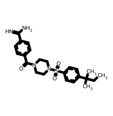 CCC(C)(C)c1ccc(S(=O)(=O)N2CCN(C(=O)c3ccc(C(=N)N)cc3)CC2)cc1